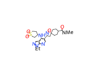 CCn1ncc2c(NC3CCS(=O)(=O)CC3)c(C3=NOC4(CCC(C(=O)NC)CC4)C3)cnc21